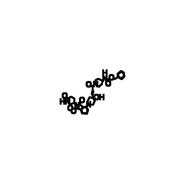 O=C1CCC(N2C(=O)c3cccc(N4CCC(O)(C#CC(=O)N5CCC(NC(=O)OCc6ccccc6)CC5)CC4)c3C2=O)C(=O)N1